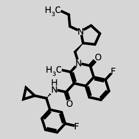 CCCN1CCC[C@H]1Cn1c(C)c(C(=O)N[C@H](c2cccc(F)c2)C2CC2)c2cccc(F)c2c1=O